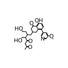 COc1cncc(-c2ccc(O)c3c2CC(CC(CCO)C(CO)C(=O)CC(C)=O)CC3=O)c1